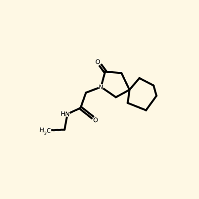 CCNC(=O)CN1CC2(CCCCC2)CC1=O